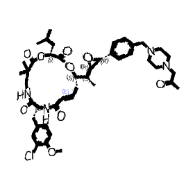 COc1ccc(C[C@H]2NC(=O)/C=C/C[C@@H]([C@H](C)[C@H]3O[C@@H]3c3ccc(CN4CCN(CC(C)=O)CC4)cc3)OC(=O)[C@H](CC(C)C)OC(=O)C(C)(C)CNC2=O)cc1Cl